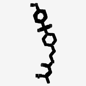 COc1ccc(S(=O)(=O)N2CCN(CCOC(=O)C=C(C)N)CC2)cc1